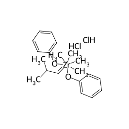 CC(C)[CH]=[Zr]([CH3])([CH3])([CH3])([CH3])([O]c1ccccc1)[O]c1ccccc1.Cl.Cl